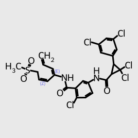 C=C/C=C(\C=C/CS(C)(=O)=O)NC(=O)c1cc(NC(=O)C2C(c3cc(Cl)cc(Cl)c3)C2(Cl)Cl)ccc1Cl